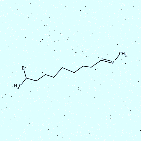 C/C=C/CCCCCCCC(C)Br